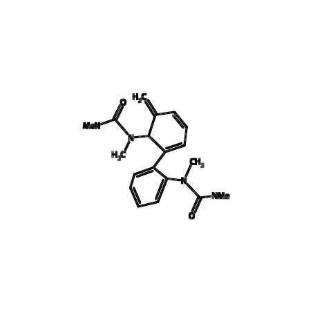 C=C1C=CC=C(c2ccccc2N(C)C(=O)NC)C1N(C)C(=O)NC